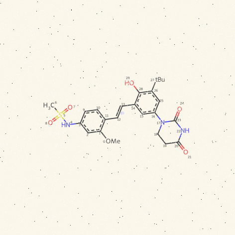 COc1cc(NS(C)(=O)=O)ccc1/C=C/c1cc(N2CCC(=O)NC2=O)cc(C(C)(C)C)c1O